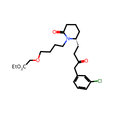 CCOC(=O)COCCCCN1C(=O)CCC[C@@H]1CCC(=O)Cc1cccc(Cl)c1